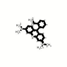 CN(C)c1ccc2c(-c3ccccc3C(N)=O)c3ccc(=[N+](C)C)cc-3oc2c1